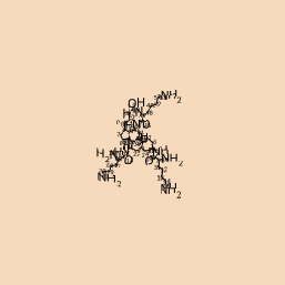 C[C@H](CCCO)C1CC[C@H]2C3C(NC(=O)[C@@H](N)CCCCN)CC4C[C@H](NC(=O)C(N)CCCCN)CCC4(C)[C@H]3CC(NC(=O)C(N)CCCCN)C12C